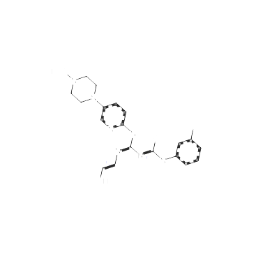 C/C=C/N=C(\N=C(/C)Nc1cccc(C(F)(F)F)c1)Nc1ccc(N2CCN(C)CC2)cn1